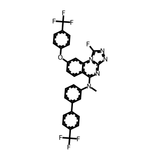 CN(c1cccc(-c2ccc(C(F)(F)F)cc2)c1)c1nc2nnc(F)n2c2cc(Oc3ccc(C(F)(F)F)cc3)ccc12